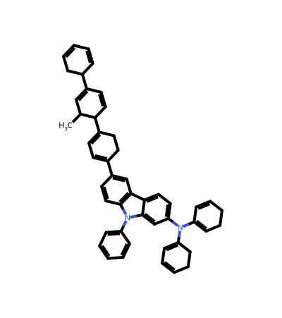 CC1C=C(C2C=CC=CC2)C=CC1C1=CC=C(c2ccc3c(c2)c2ccc(N(C4=CCCC=C4)C4=CC=CCC4)cc2n3-c2ccccc2)CC1